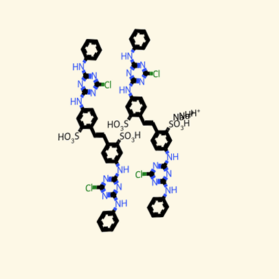 O=S(=O)(O)c1cc(Nc2nc(Cl)nc(Nc3ccccc3)n2)ccc1C=Cc1ccc(Nc2nc(Cl)nc(Nc3ccccc3)n2)cc1S(=O)(=O)O.O=S(=O)(O)c1cc(Nc2nc(Cl)nc(Nc3ccccc3)n2)ccc1C=Cc1ccc(Nc2nc(Cl)nc(Nc3ccccc3)n2)cc1S(=O)(=O)O.[H+].[H+].[Na+].[Na+]